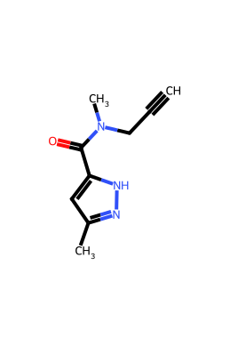 C#CCN(C)C(=O)c1cc(C)n[nH]1